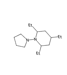 CCC1CC(CC)N(N2CCCC2)C(CC)C1